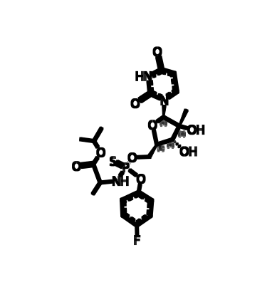 CC(C)OC(=O)C(C)NP(=S)(OC[C@H]1O[C@@H](n2ccc(=O)[nH]c2=O)[C@](C)(O)[C@@H]1O)Oc1ccc(F)cc1